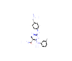 CNCc1ccc(Nc2ncc(C(N)=O)c(Nc3cccc(C)c3)n2)cc1